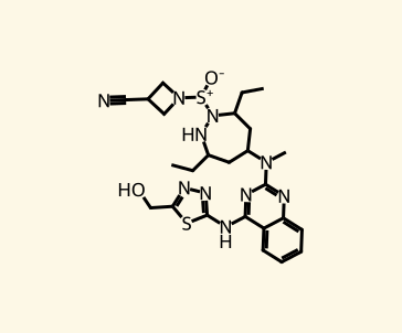 CCC1CC(N(C)c2nc(Nc3nnc(CO)s3)c3ccccc3n2)CC(CC)N([S+]([O-])N2CC(C#N)C2)N1